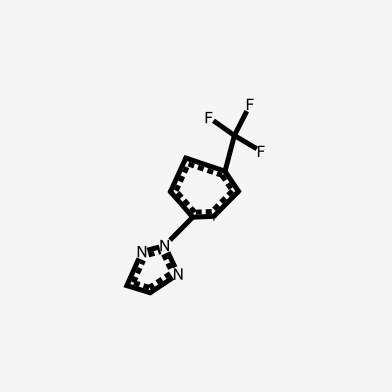 FC(F)(F)c1c[c]c(-n2nccn2)cc1